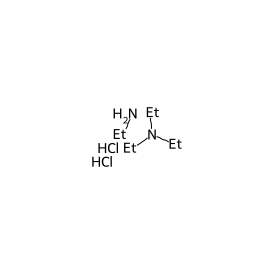 CCN.CCN(CC)CC.Cl.Cl